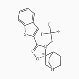 FC(F)(F)CN1C(c2cc3ccccc3s2)=NO[C@]12CN1CCC2CC1